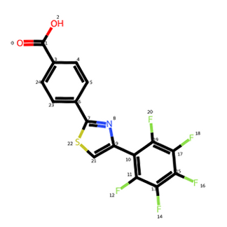 O=C(O)c1ccc(-c2nc(-c3c(F)c(F)c(F)c(F)c3F)cs2)cc1